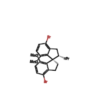 CCC[C@H]1Cc2c(Br)ccc(OC)c2[C@@]12CCc1c(Br)ccc(OC)c12